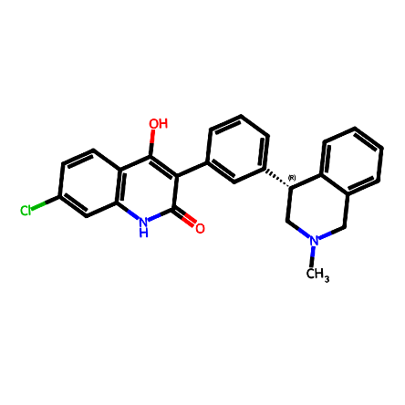 CN1Cc2ccccc2[C@@H](c2cccc(-c3c(O)c4ccc(Cl)cc4[nH]c3=O)c2)C1